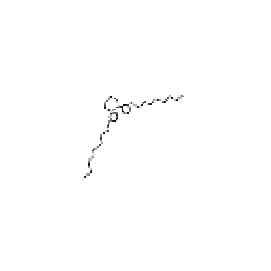 CCCCCCCCCOC1CCCCC1OCCCCCCCCC